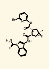 C[C@@]1(F)C[C@@H](C(=O)Nc2cccc(Br)n2)N(C(=O)Nc2cn(C(N)=O)c3ccccc23)C1